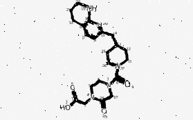 O=C(O)CN1CCN(C(=O)N2CCC(Cc3ccc4c(n3)NCCC4)CC2)CC1=O